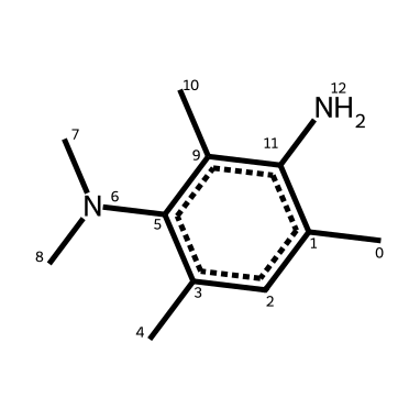 Cc1cc(C)c(N(C)C)c(C)c1N